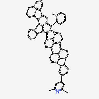 Cc1cc(-c2ccc3c(c2)-c2ccc4c5ccc6c7c(ccc(c8ccc-3c2c84)c57)c2c(-c3ccccc3C)c3cc4c5cccc7cccc(c75)c4c4c5ccccc5c(c62)c34)cc(C)n1